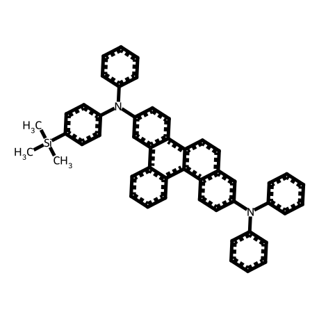 C[Si](C)(C)c1ccc(N(c2ccccc2)c2ccc3c(c2)c2ccccc2c2c4ccc(N(c5ccccc5)c5ccccc5)cc4ccc32)cc1